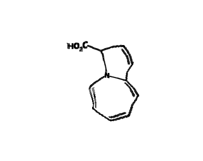 O=C(O)C1C=CC2=CC=CC=CN21